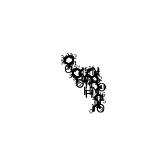 C=CC(=O)N1CC[C@@H](NC(=O)c2sc3nccc4c3c2NC(=O)N4c2c(C)cc(Oc3ccccc3)cc2C)C1